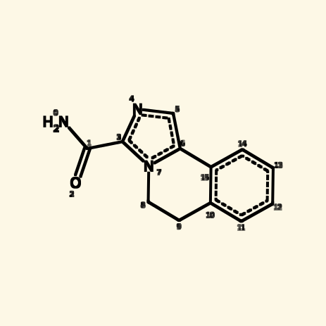 NC(=O)c1ncc2n1CCc1ccccc1-2